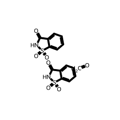 C=O.O=C1NS(=O)(=O)c2ccccc21.O=C1NS(=O)(=O)c2ccccc21